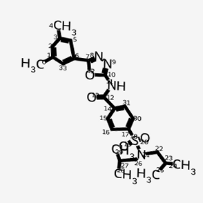 Cc1cc(C)cc(-c2nnc(NC(=O)c3ccc(S(=O)(=O)N(CC(C)C)CC(C)C)cc3)o2)c1